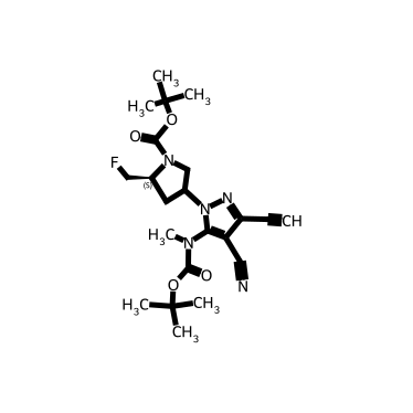 C#Cc1nn(C2C[C@@H](CF)N(C(=O)OC(C)(C)C)C2)c(N(C)C(=O)OC(C)(C)C)c1C#N